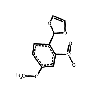 COc1ccc(C2OC=CO2)c([N+](=O)[O-])c1